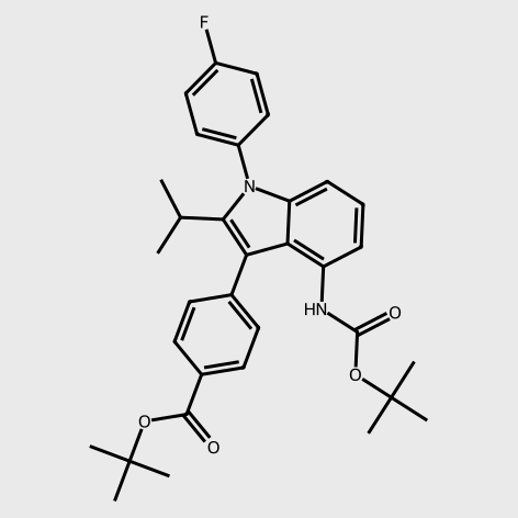 CC(C)c1c(-c2ccc(C(=O)OC(C)(C)C)cc2)c2c(NC(=O)OC(C)(C)C)cccc2n1-c1ccc(F)cc1